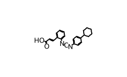 O=C(O)/C=C/c1ccccc1N=C=Nc1ccc(C2CCCCC2)cc1